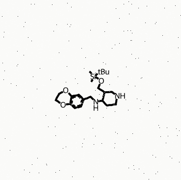 CC(C)(C)[Si](C)(C)OCC1CNCCC1NCc1ccc2c(c1)OCCO2